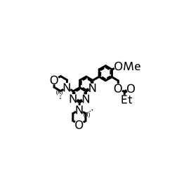 CCC(=O)OCc1cc(-c2ccc3c(N4CCOC[C@H]4C)nc(N4CCOC[C@H]4C)nc3n2)ccc1OC